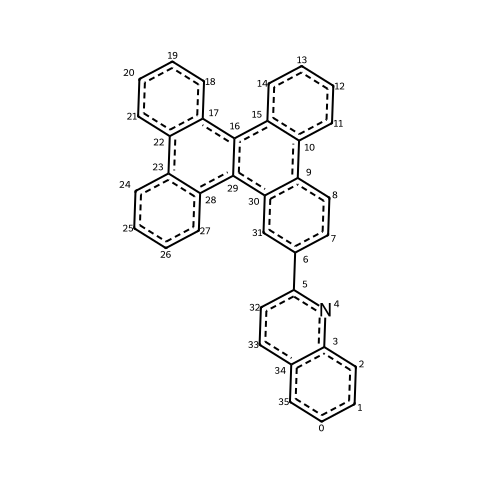 c1ccc2nc(-c3ccc4c5ccccc5c5c6ccccc6c6ccccc6c5c4c3)ccc2c1